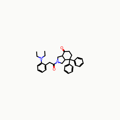 CCN(CC)c1ccccc1CC(=O)N1CC2C(=O)CCC(c3ccccc3)(c3ccccc3)C2C1